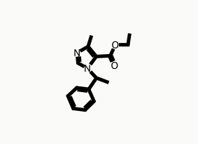 CCOC(=O)c1c(C)ncn1C(C)c1ccccc1